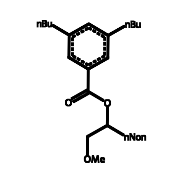 CCCCCCCCCC(COC)OC(=O)c1cc(CCCC)cc(CCCC)c1